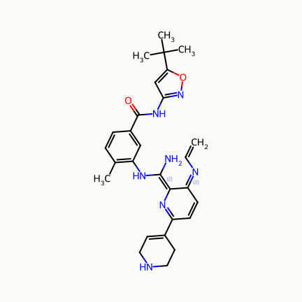 C=C/N=C1/C=CC(C2=CCNCC2)=N/C1=C(/N)Nc1cc(C(=O)Nc2cc(C(C)(C)C)on2)ccc1C